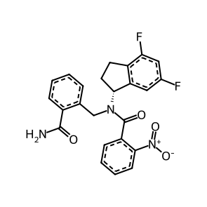 NC(=O)c1ccccc1CN(C(=O)c1ccccc1[N+](=O)[O-])[C@@H]1CCc2c(F)cc(F)cc21